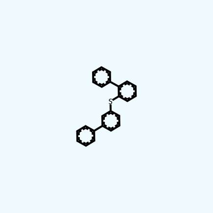 c1ccc(-c2cccc(Sc3ccccc3-c3ccccc3)c2)cc1